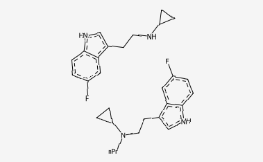 CCCN(CCc1c[nH]c2ccc(F)cc12)C1CC1.Fc1ccc2[nH]cc(CCNC3CC3)c2c1